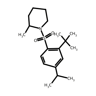 CC(C)c1ccc(S(=O)(=O)N2CCCCC2C)c(C(C)(C)C)c1